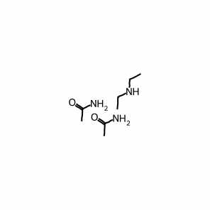 CC(N)=O.CC(N)=O.CCNCC